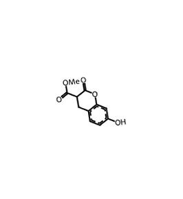 COC(=O)C1Cc2ccc(O)cc2OC1=O